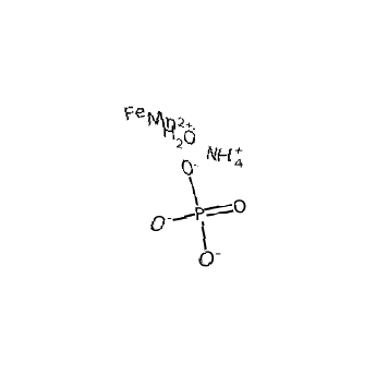 O.O=P([O-])([O-])[O-].[Fe].[Mn+2].[NH4+]